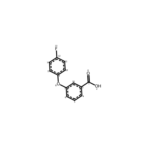 O=C(O)c1cccc(Oc2ccc(F)cc2)c1